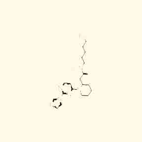 O=C(CC1CCCCN1c1ccnc(-n2ccnc2)n1)NCCCCCO